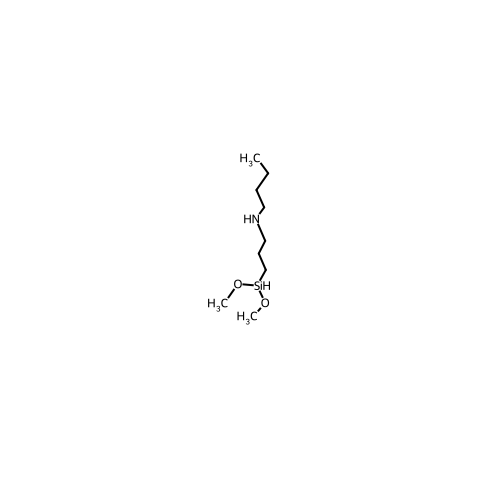 CCCCNCCC[SiH](OC)OC